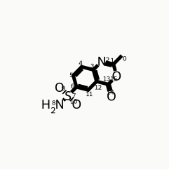 Cc1nc2ccc(S(N)(=O)=O)cc2c(=O)o1